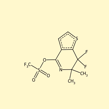 CC1(C)N=C(OS(=O)(=O)C(F)(F)F)c2ccsc2C1(F)F